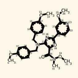 COc1ccc(CN(Cc2ccc(OC)cc2)c2nc(-c3ccnc(OC)c3)oc2C(=O)N(C)OC)cc1